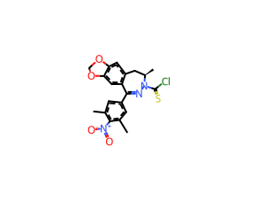 Cc1cc(C2=NN(C(=S)Cl)[C@H](C)Cc3cc4c(cc32)OCO4)cc(C)c1[N+](=O)[O-]